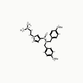 COc1ccc(CN(Cc2ccc(OC)cc2)[S+]([O-])c2cnn(CCN(C)C)c2)cc1